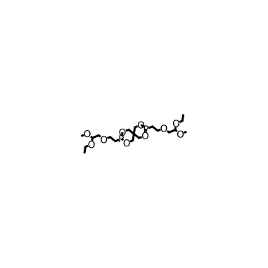 CCOC(COCCP1OCC2(CO1)COP(CCOCC(OC)OCC)OC2)OC